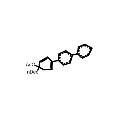 CCCCCCCCCCC1(OC(C)=O)C=CC(c2ccc(-c3ccccc3)cc2)=CC1